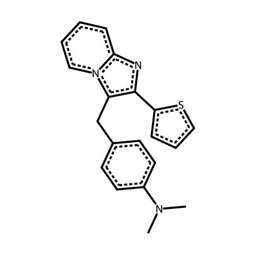 CN(C)c1ccc(Cc2c(-c3cccs3)nc3ccccn23)cc1